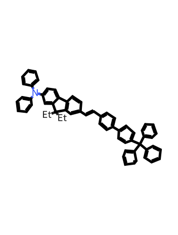 CCC1(CC)c2cc(/C=C/c3ccc(-c4ccc(C(c5ccccc5)(c5ccccc5)c5ccccc5)cc4)cc3)ccc2-c2ccc(N(c3ccccc3)c3ccccc3)cc21